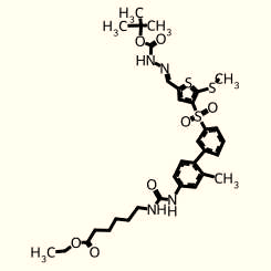 CCOC(=O)CCCCCNC(=O)Nc1ccc(-c2cccc(S(=O)(=O)c3cc(C=NNC(=O)OC(C)(C)C)sc3SC)c2)c(C)c1